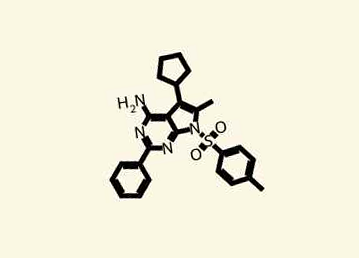 Cc1ccc(S(=O)(=O)n2c(C)c(C3CCCC3)c3c(N)nc(-c4ccccc4)nc32)cc1